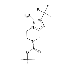 Bc1c(C(F)(F)F)nc2n1CCN(C(=O)OC(C)(C)C)C2